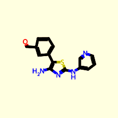 Nc1nc(Nc2cccnc2)sc1-c1cccc(C=O)c1